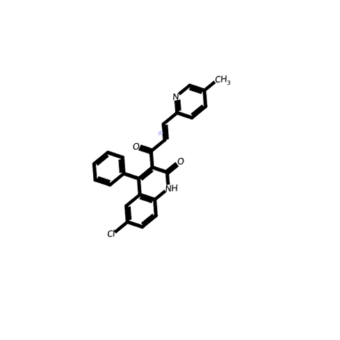 Cc1ccc(/C=C/C(=O)c2c(-c3ccccc3)c3cc(Cl)ccc3[nH]c2=O)nc1